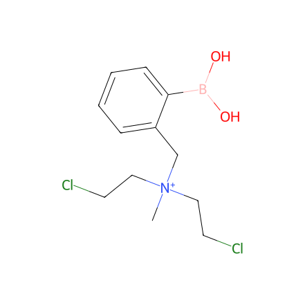 C[N+](CCCl)(CCCl)Cc1ccccc1B(O)O